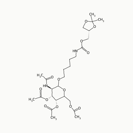 CC(=O)N[C@H]1C(OCCCCCNC(=O)OC[C@@H]2COC(C)(C)O2)OC(COC(C)=O)[C@H](OC(C)=O)[C@@H]1OC(C)=O